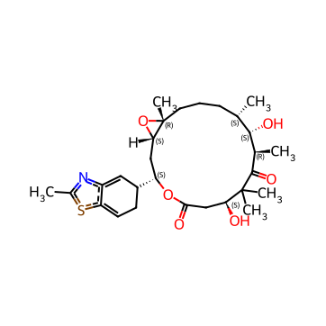 Cc1nc2c(s1)=CCC([C@@H]1C[C@@H]3O[C@]3(C)CCC[C@H](C)[C@H](O)[C@@H](C)C(=O)C(C)(C)[C@@H](O)CC(=O)O1)C=2